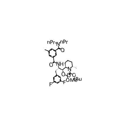 CCCN(CCC)C(=O)c1cc(C)cc(C(=O)N[C@@H](Cc2cc(F)cc(F)c2)[C@H](OCOC)[C@H]2CCC[C@H](C)N2C(=O)OC(C)(C)C)c1